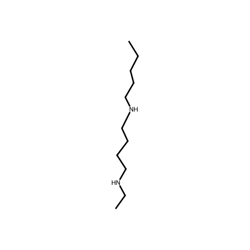 CCCCCNCCCCNCC